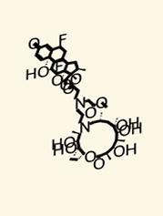 CC[C@H]1OC(=O)[C@H](C)[C@@H](O)[C@H](C)[C@@H](O)[C@](C)(O)C[C@@H](C)CN(CCCN(CCC(=O)O[C@]2(C(=O)OC)[C@H](C)CC3C4C[C@H](F)C5=CC(=O)C=C[C@]5(C)[C@@]4(F)[C@@H](O)C[C@@]32C)CC(=O)OC)[C@H](C)[C@@H](O)[C@]1(C)O